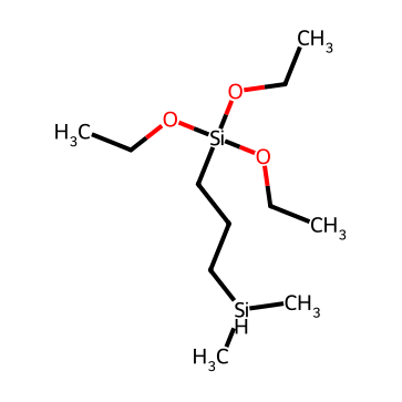 CCO[Si](CCC[SiH](C)C)(OCC)OCC